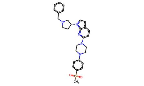 CS(=O)(=O)c1ccc(N2CCN(c3ccc4ccn([C@@H]5CCN(Cc6ccccc6)C5)c4n3)CC2)cc1